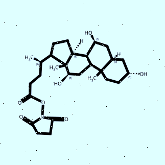 C[C@H](CCC(=O)ON1C(=O)CCC1=O)C1CC[C@H]2C3C(C[C@@H](O)C12C)C1(C)CC[C@@H](O)C[C@@H]1C[C@@H]3O